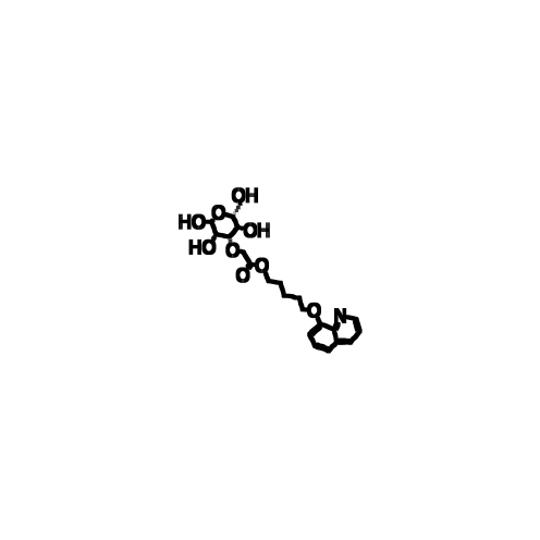 O=C(CO[C@H]1[C@H](O)[C@@H](CO)OC(O)[C@@H]1O)OCCCCCOc1cccc2cccnc12